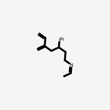 C=CC(=C)CC(CC/N=C\C)C(C)C